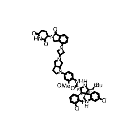 COc1cc(N2CCC3CN(C4CN(c5cccc6c5CN(C5CCC(=O)NC5=O)C6=O)C4)CC32)ccc1NC(=O)[C@@H]1N[C@@H](CC(C)(C)C)[C@@]2(CNc3cc(Cl)ccc32)[C@H]1c1cccc(Cl)c1F